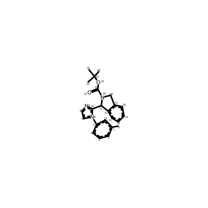 Cc1cccc(-n2ccnc2C2c3ccccc3CN2C(=O)OC(C)(C)C)c1